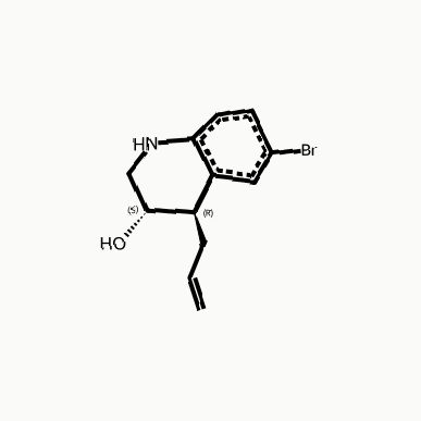 C=CC[C@@H]1c2cc(Br)ccc2NC[C@H]1O